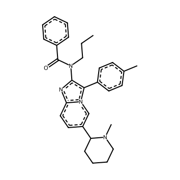 CCCN(C(=O)c1ccccc1)c1nc2ccc(C3CCCCN3C)cn2c1-c1ccc(C)cc1